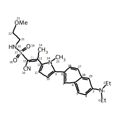 CCN(CC)c1ccc2cc(-c3ccc(/C(C)=C(\C#N)S(=O)(=O)NCCOC)n3C)ccc2c1